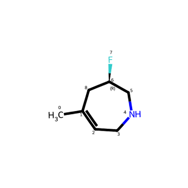 CC1=CCNC[C@H](F)C1